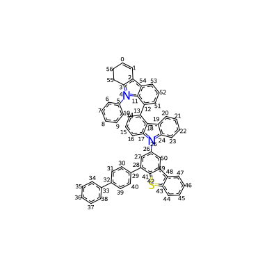 C1=Cc2c(n(-c3ccccc3)c3c(-c4cccc5c4c4ccccc4n5-c4cc(-c5ccc(-c6ccccc6)cc5)c5sc6ccccc6c5c4)cccc23)CC1